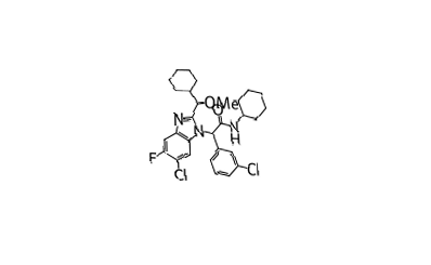 COC(c1nc2cc(F)c(Cl)cc2n1C(C(=O)NC1CCCCC1)c1cccc(Cl)c1)C1CCCCC1